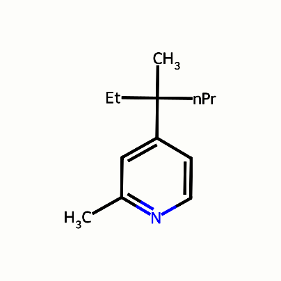 CCCC(C)(CC)c1ccnc(C)c1